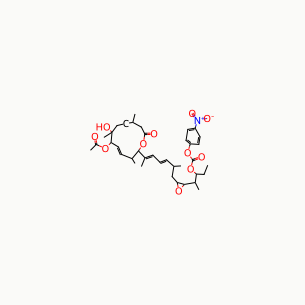 CCC(OC(=O)Oc1ccc([N+](=O)[O-])cc1)C(C)C1OC1CC(C)/C=C/C=C(\C)C1OC(=O)CC(C)CCC(C)(O)C(OC(C)=O)/C=C/C1C